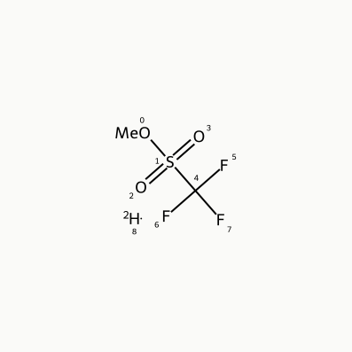 COS(=O)(=O)C(F)(F)F.[2H]